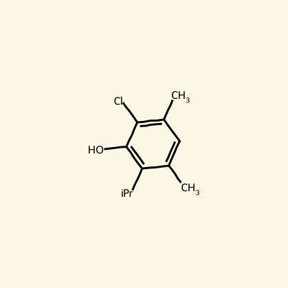 Cc1cc(C)c(C(C)C)c(O)c1Cl